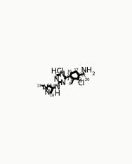 Cc1c(-c2ncnc(Nc3cnn(C)c3)n2)ccc([C@@H](C)N)c1Cl.Cl